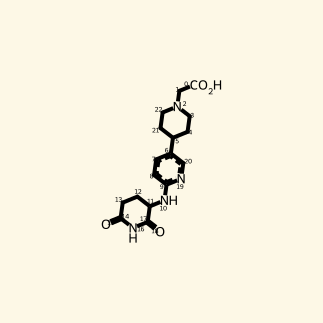 O=C(O)CN1CCC(c2ccc(NC3CCC(=O)NC3=O)nc2)CC1